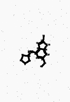 CCc1nc(NC2CCCC2)c2cc(C)sc2n1